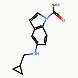 CNC(=O)n1ccc2cc(NCC3CC3)ccc21